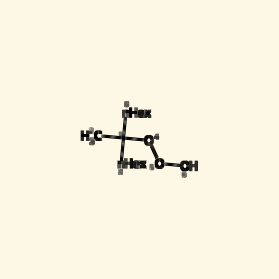 CCCCCCC(C)(CCCCCC)OOO